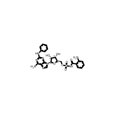 Nc1ccccc1C(=O)NS(=O)(=O)OC[C@H]1O[C@@H](n2cnc3c(N)nc(Nc4ccccc4)nc32)[C@H](O)[C@@H]1O